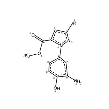 CC(C)c1cc(C(=O)OC(C)(C)C)n(-c2ccc(O)c(N)c2)n1